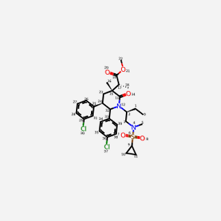 CC[C@@H](CN(C)S(=O)(=O)C1CC1)N1C(=O)[C@@](C)([C@@H](C)C(=O)OC)C[C@H](c2cccc(Cl)c2)C1c1ccc(Cl)cc1